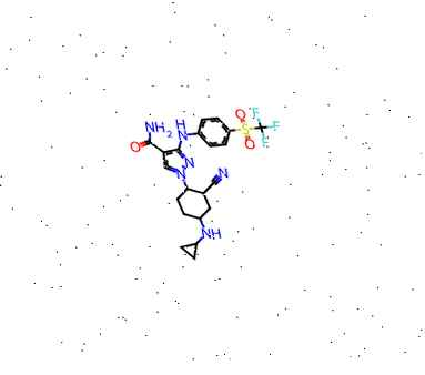 N#CC1CC(NC2CC2)CCC1n1cc(C(N)=O)c(Nc2ccc(S(=O)(=O)C(F)(F)F)cc2)n1